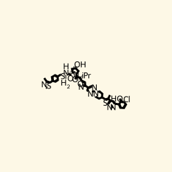 Cc1ncsc1-c1ccc(C[SiH2]NC(=O)[C@@H]2C[C@@H](O)CN2C(=O)[C@@H](c2cc(-c3cnc(N4CCC(c5sc6nnc(-c7cccc(Cl)c7O)cc6c5C)CC4)nc3)no2)C(C)C)cc1